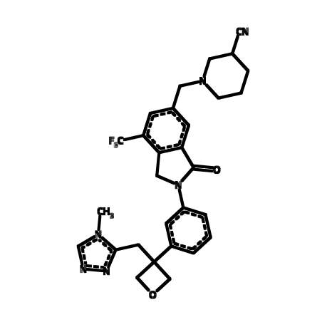 Cn1cnnc1CC1(c2cccc(N3Cc4c(cc(CN5CCCC(C#N)C5)cc4C(F)(F)F)C3=O)c2)COC1